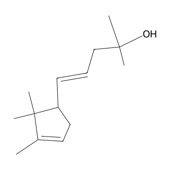 CC1=CCC(/C=C/CC(C)(C)O)C1(C)C